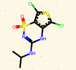 CC(C)NC1=NS(=O)(=O)c2c(Cl)sc(Cl)c2N1